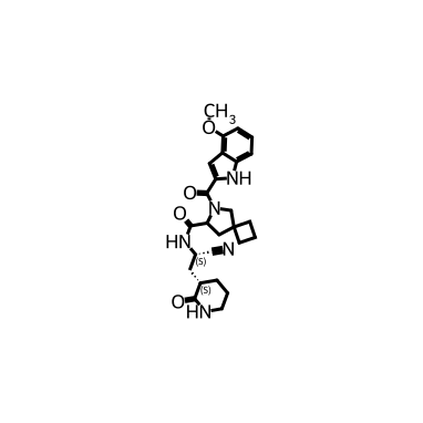 COc1cccc2[nH]c(C(=O)N3CC4(CCC4)CC3C(=O)N[C@H](C#N)C[C@@H]3CCCNC3=O)cc12